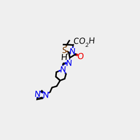 CC1(C)S[C@@H]2[C@H](N=CN3CCC(CCCn4ccnc4)CC3)C(=O)N2[C@H]1C(=O)O